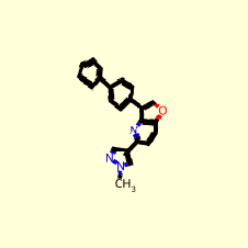 Cn1cc(-c2ccc3occ(-c4ccc(-c5ccccc5)cc4)c3n2)cn1